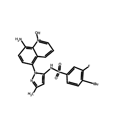 Cc1cc(NS(=O)(=O)c2ccc(C(C)(C)C)c(F)c2)n(-c2ccc(N)c3c2ccc[n+]3O)n1